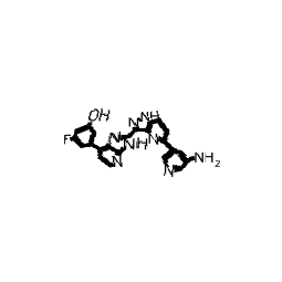 Nc1cncc(-c2ccc3[nH]nc(-c4nc5c(-c6cc(O)cc(F)c6)ccnc5[nH]4)c3n2)c1